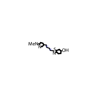 CNc1ccc(/C=C/C=C/c2nc3ccc(O)cc3s2)cn1